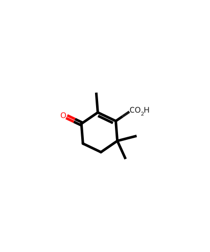 CC1=C(C(=O)O)C(C)(C)CCC1=O